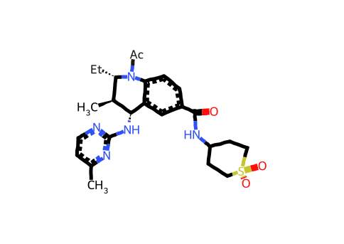 CC[C@H]1[C@H](C)[C@@H](Nc2nccc(C)n2)c2cc(C(=O)NC3CCS(=O)(=O)CC3)ccc2N1C(C)=O